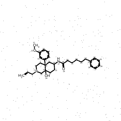 C=CCN1CCC2(c3cccc(OC)c3)CC(NC(=O)CCCCCc3ccccc3)CCC2(O)C1